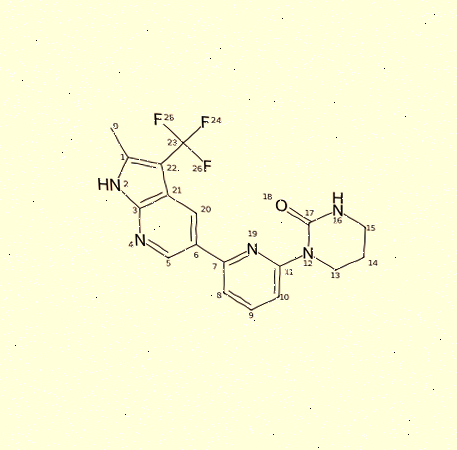 Cc1[nH]c2ncc(-c3cccc(N4CCCNC4=O)n3)cc2c1C(F)(F)F